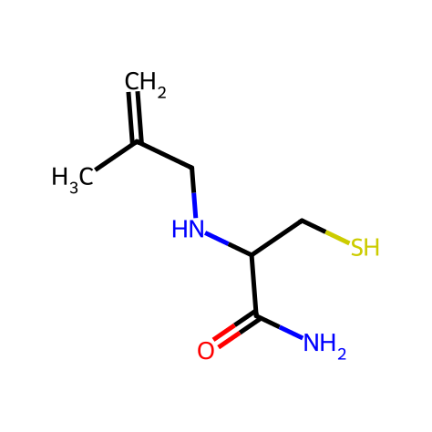 C=C(C)CNC(CS)C(N)=O